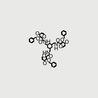 O=C(NCC1CC(CNC(=O)c2occc(=O)c2OCc2ccccc2)CC(CNC(=O)c2occc(=O)c2OCc2ccccc2)C1)c1occc(=O)c1OCc1ccccc1